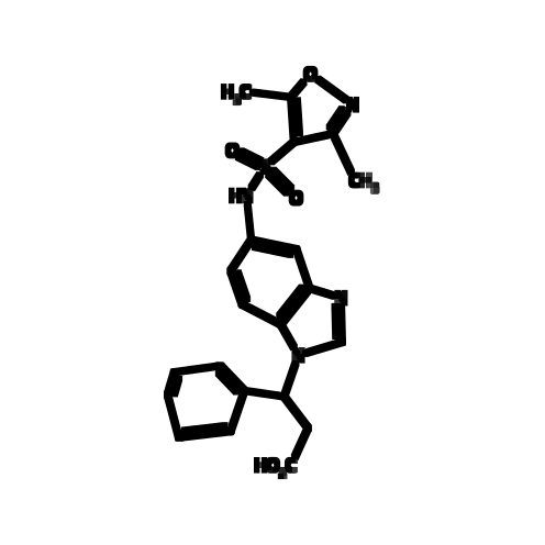 Cc1noc(C)c1S(=O)(=O)Nc1ccc2c(c1)ncn2C(CC(=O)O)c1ccccc1